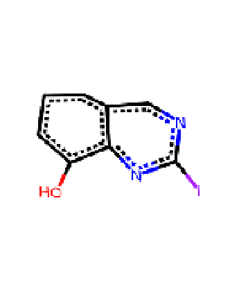 Oc1cccc2cnc(I)nc12